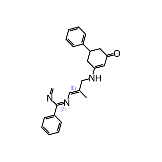 C=N/C(=N\C=C(/C)CNC1=CC(=O)CC(c2ccccc2)C1)c1ccccc1